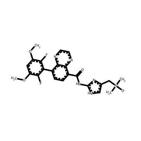 COc1cc(OC)c(F)c(-c2ccc(C(=O)Nc3nc(C[N+](C)(C)[O-])c[nH]3)c3nccnc23)c1F